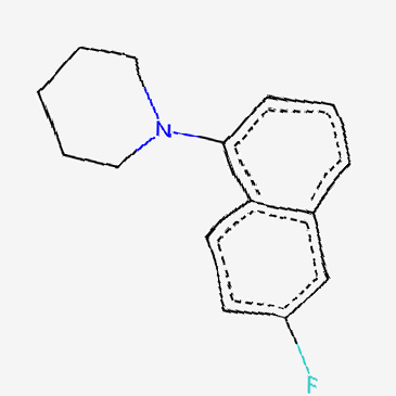 Fc1ccc2c(N3CCCCC3)cccc2c1